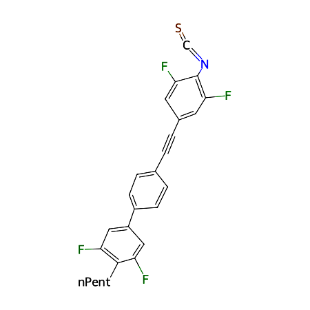 CCCCCc1c(F)cc(-c2ccc(C#Cc3cc(F)c(N=C=S)c(F)c3)cc2)cc1F